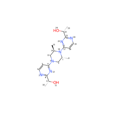 C[C@@H]1CN(c2ccnc([C@@H](C)O)n2)C[C@@H](C)N1c1ccnc([C@@H](C)O)n1